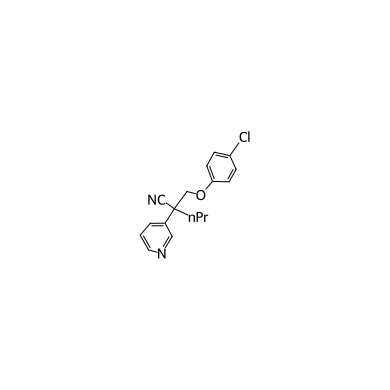 CCCC(C#N)(COc1ccc(Cl)cc1)c1cccnc1